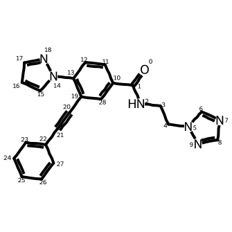 O=C(NCCn1cncn1)c1ccc(-n2cccn2)c(C#Cc2ccccc2)c1